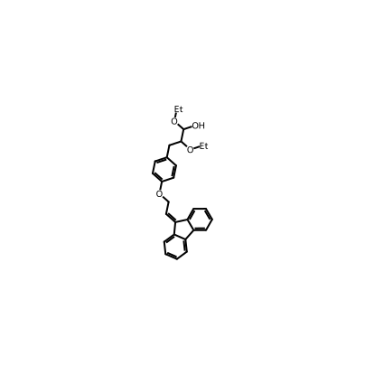 CCOC(O)C(Cc1ccc(OCC=C2c3ccccc3-c3ccccc32)cc1)OCC